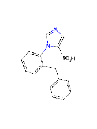 O=S(=O)(O)c1cncn1-c1ccccc1Cc1ccccc1